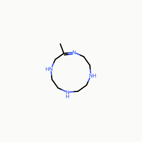 CC1=NCCNCCNCCNC1